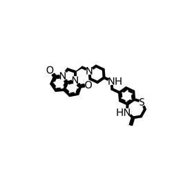 C=C1CCSc2ccc(CNC3CCN(C[C@@H]4Cn5c(=O)ccc6ccc(=O)n4c65)CC3)cc2N1